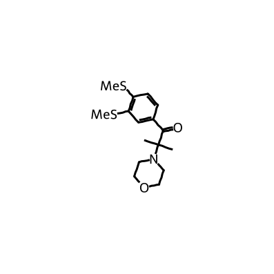 CSc1ccc(C(=O)C(C)(C)N2CCOCC2)cc1SC